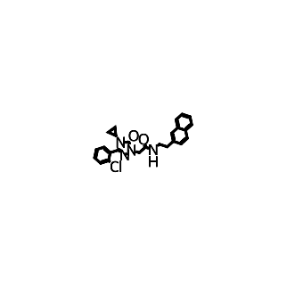 O=C(Cn1nc(-c2ccccc2Cl)n(C2CC2)c1=O)NCCc1ccc2ccccc2c1